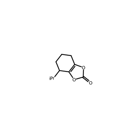 CC(C)C1CCCc2oc(=O)oc21